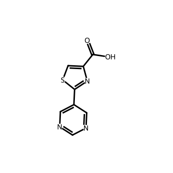 O=C(O)c1csc(-c2cncnc2)n1